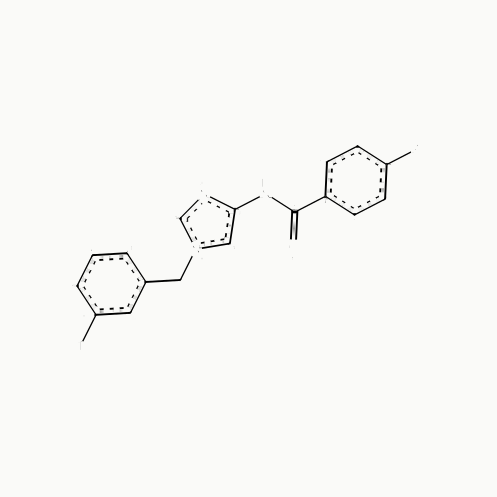 CC(=O)c1ccc(C(=O)Nc2cn(Cc3cccc(Cl)c3)cn2)cc1